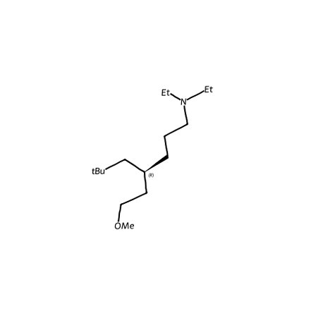 CCN(CC)CCC[C@@H](CCOC)CC(C)(C)C